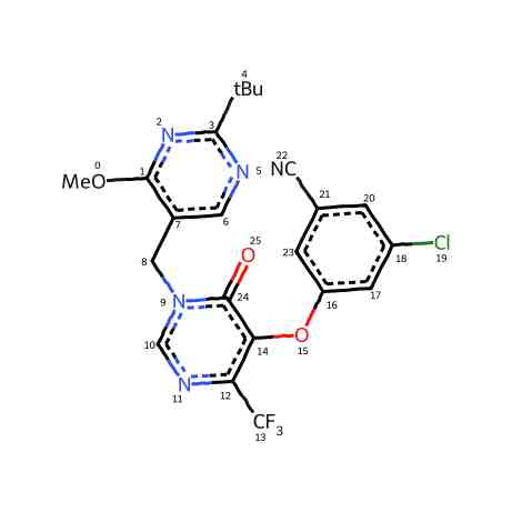 COc1nc(C(C)(C)C)ncc1Cn1cnc(C(F)(F)F)c(Oc2cc(Cl)cc(C#N)c2)c1=O